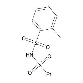 CCS(=O)(=O)NS(=O)(=O)c1ccccc1C